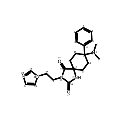 CN(C)C1(c2ccccc2)CCC2(CC1)NC(=O)N(CCn1ccnc1)C2=O